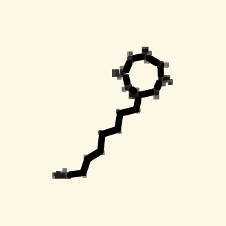 CCCCCCCCCCCCCCCC[SiH]1O[SiH2]O[SiH2]O[SiH2]O1